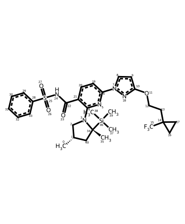 C[C@@H]1CN(c2nc(-n3ccc(OCCC4(C(F)(F)F)CC4)n3)ccc2C(=O)NS(=O)(=O)c2ccccc2)[C@](C)([Si](C)(C)C)C1